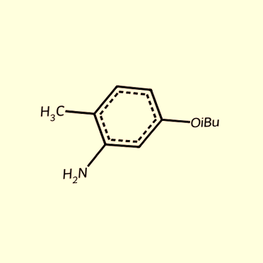 Cc1ccc(OCC(C)C)cc1N